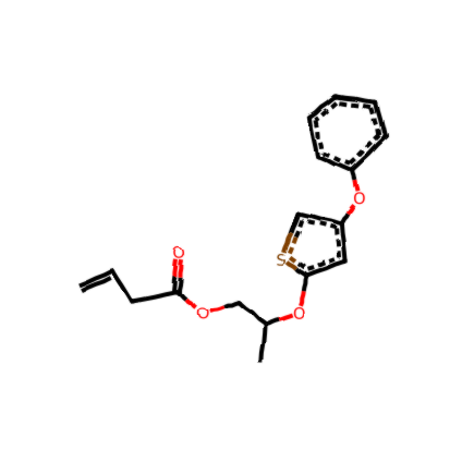 C=CCC(=O)OCC(C)Oc1cc(Oc2ccccc2)cs1